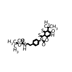 CC(C)C1=C(O)C=C2OC(=O)N(c3ccc(CCNC(=O)OC(C)(C)C)cc3)C(=S)C2C1=S